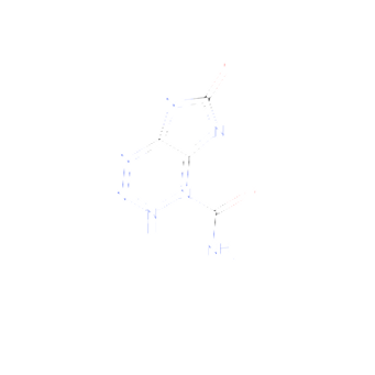 NC(=O)n1[nH]nnc2nc(=O)nc1-2